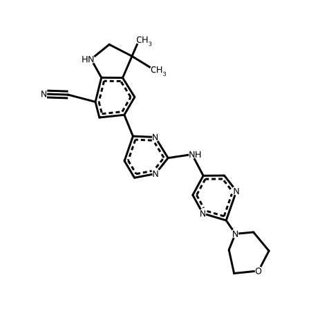 CC1(C)CNc2c(C#N)cc(-c3ccnc(Nc4cnc(N5CCOCC5)nc4)n3)cc21